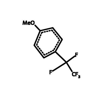 COc1ccc(C(F)(F)C(F)(F)F)cc1